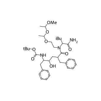 CCC(C)C(C(N)=O)N(CCOC(C)OC(C)OC)C(=O)C(Cc1ccccc1)CC(O)C(Cc1ccccc1)NC(=O)OC(C)(C)C